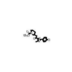 Cc1nc(-c2ccc(Cl)cc2)sc1C(=O)CC1CCCN(C(=O)OC(C)(C)C)C1